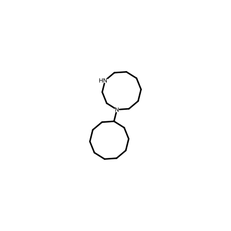 C1CCCCC(N2CCCCCCNCC2)CCCC1